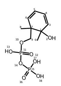 CC1(O)C=CC=CC1(C)COP(=O)(O)OP(=O)(O)O